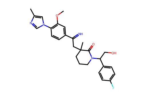 COc1cc(C(=N)CC2(C)CCCN(C(CO)c3ccc(F)cc3)C2=O)ccc1-n1cnc(C)c1